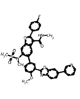 CNC(=O)c1c(-c2ccc(F)cc2)oc2cc(N(C)S(C)(=O)=O)c(-c3ccc(OC)c(-c4nc5ccc(-c6cccnc6)cc5o4)c3)cc12